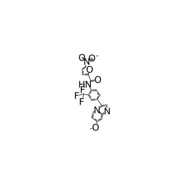 COc1ccn2c(-c3ccc(NC(=O)c4ccc([N+](=O)[O-])o4)c(C(F)(F)F)c3)cnc2c1